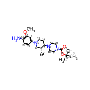 COc1cc(N2CCC(N3CCN(C(=O)OC(C)(C)C)CC3)CC2)ccc1N.[Ar]